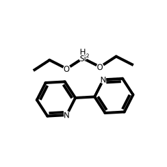 CCO[SiH2]OCC.c1ccc(-c2ccccn2)nc1